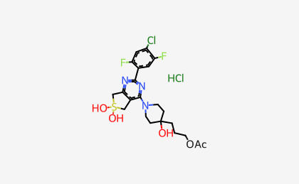 CC(=O)OCCCC1(O)CCN(c2nc(-c3cc(F)c(Cl)cc3F)nc3c2CS(O)(O)C3)CC1.Cl